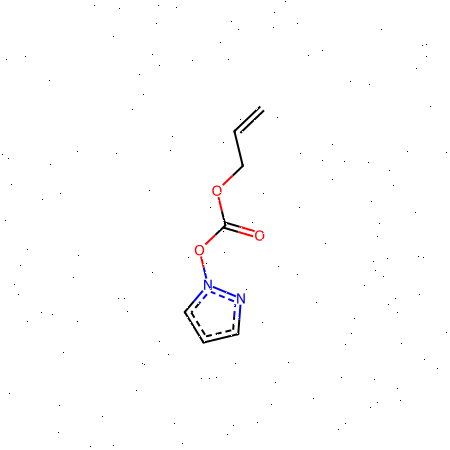 C=CCOC(=O)On1cccn1